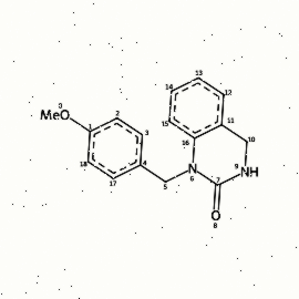 COc1ccc(CN2C(=O)NCc3ccccc32)cc1